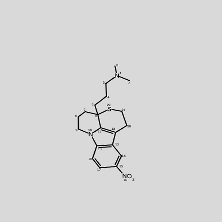 CN(C)CCCC12CCCn3c1c(c1cc([N+](=O)[O-])ccc13)CCS2